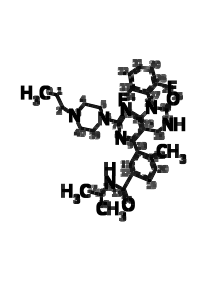 CCCN1CCN(c2nc(-c3cc(C(=O)NC(C)C)ccc3C)c3c(n2)N(c2c(F)cccc2F)C(=O)NC3)CC1